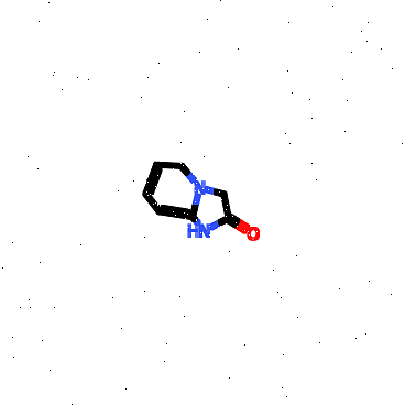 O=C1CN2CC=CC=C2N1